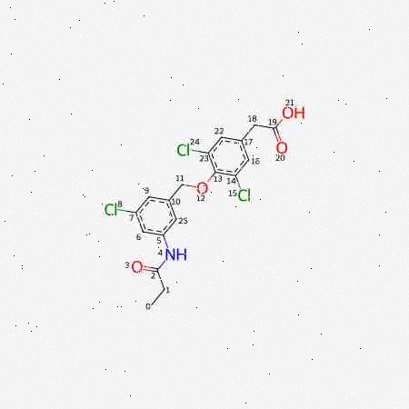 CCC(=O)Nc1cc(Cl)cc(COc2c(Cl)cc(CC(=O)O)cc2Cl)c1